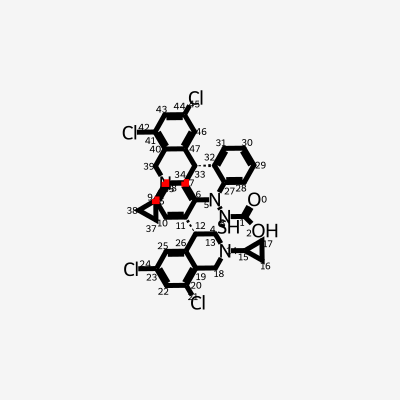 O=C(O)N(S)N(c1ccccc1[C@@H]1CN(C2CC2)Cc2c(Cl)cc(Cl)cc21)c1ccccc1[C@@H]1CN(C2CC2)Cc2c(Cl)cc(Cl)cc21